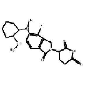 CN[C@H]1CCCC[C@H]1N(C)c1ccc2c(c1F)CN(C1CCC(=O)NC1=O)C2=O